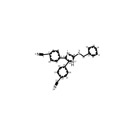 N#Cc1ccc(-c2nc(SCc3ccccc3)[nH]c2-c2ccc(C#N)cc2)cc1